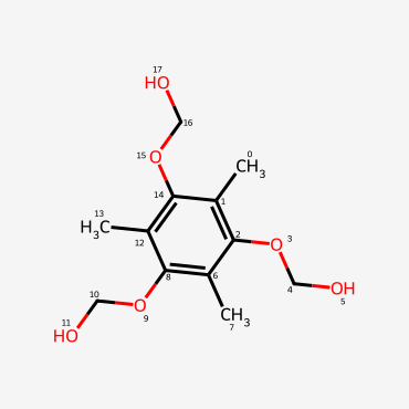 Cc1c(OCO)c(C)c(OCO)c(C)c1OCO